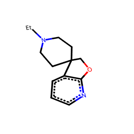 CCN1CCC2(CC1)COc1ncccc12